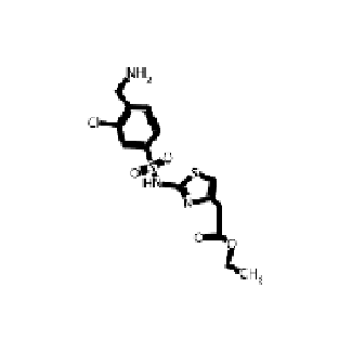 CCOC(=O)Cc1csc(NS(=O)(=O)c2ccc(CN)c(Cl)c2)n1